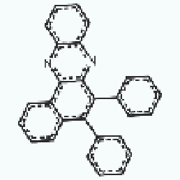 c1ccc(-c2c(-c3ccccc3)c3nc4ccccc4nc3c3ccccc23)cc1